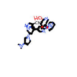 Cc1cc(O)ncc1CN1C2CC1CN(c1ccc(-c3cc(N4CCC(N(C)C)C4)cn4ncc(C#N)c34)cn1)C2